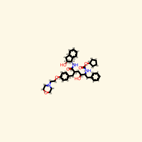 O=C(NC(Cc1ccccc1)C(O)CC(Cc1ccc(OCCN2CCOCC2)cc1)C(=O)N[C@H]1c2ccccc2C[C@@H]1O)OC1CCCC1